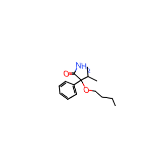 CCCCOC(C(N)=O)(c1ccccc1)C(C)C